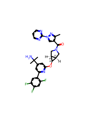 Cc1nn(-c2ncccn2)cc1C(=O)N1C[C@@H]2[C@H](C1)[C@@H]2Oc1cc(C(C)(C)N)cc(-c2cc(F)c(F)cc2F)n1